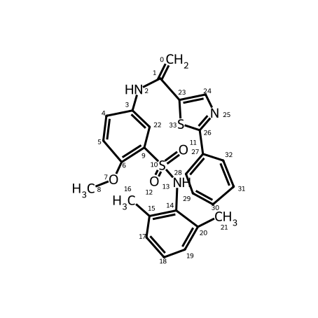 C=C(Nc1ccc(OC)c(S(=O)(=O)Nc2c(C)cccc2C)c1)c1cnc(-c2ccccc2)s1